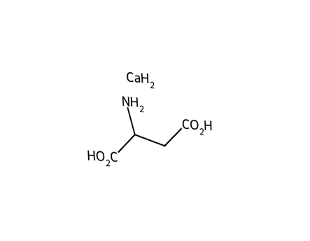 NC(CC(=O)O)C(=O)O.[CaH2]